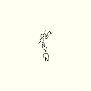 CCOC(=O)C(CC)Oc1ccc(N2CCN(c3ccncc3)CC2)c(C)c1